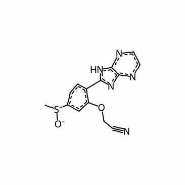 C[S+]([O-])c1ccc(-c2nc3nccnc3[nH]2)c(OCC#N)c1